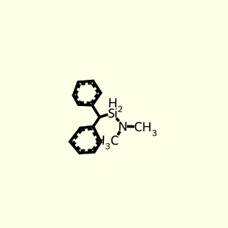 CN(C)[SiH2]C(c1ccccc1)c1ccccc1